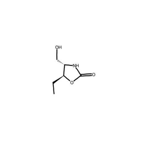 CC[C@@H]1OC(=O)N[C@H]1CO